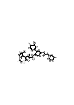 O=C(N[C@@H]1CN[C@H](CCCN2CCCCC2)C[C@H]1c1ccc(F)c(F)c1)c1cc2c(s1)OCCn1ncc(Br)c1-2